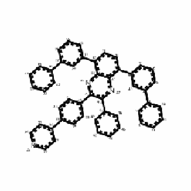 c1ccc(-c2cccc(-c3ccc(-c4cccc(-c5ccccc5)c4)c4nc(-c5ccc(-c6ccncc6)cc5)c(-c5ccccc5)nc34)c2)cc1